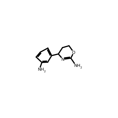 NC1=NC(c2cccc(N)c2)CCO1